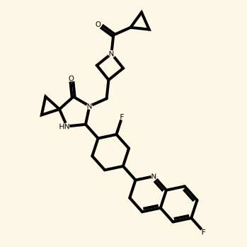 O=C(C1CC1)N1CC(CN2C(=O)C3(CC3)NC2C2CCC(C3CC=c4cc(F)ccc4=N3)CC2F)C1